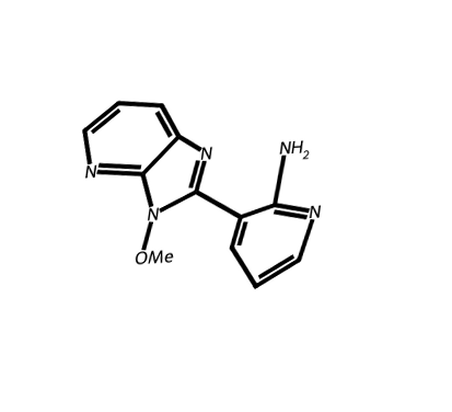 COn1c(-c2cccnc2N)nc2cccnc21